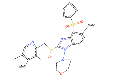 COc1ccc2c(nc([S+]([O-])Cc3ncc(C)c(OC)c3C)n2N2CCOCC2)c1S(=O)(=O)c1ccccc1